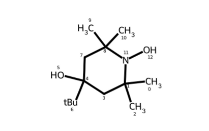 CC1(C)CC(O)(C(C)(C)C)CC(C)(C)N1O